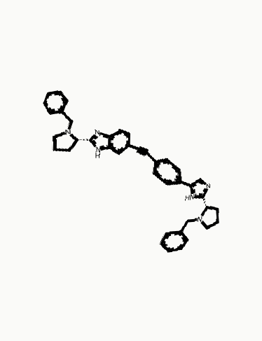 C(#Cc1ccc2nc([C@@H]3CCCN3Cc3ccccc3)[nH]c2c1)c1ccc(-c2cnc([C@@H]3CCCN3Cc3ccccc3)[nH]2)cc1